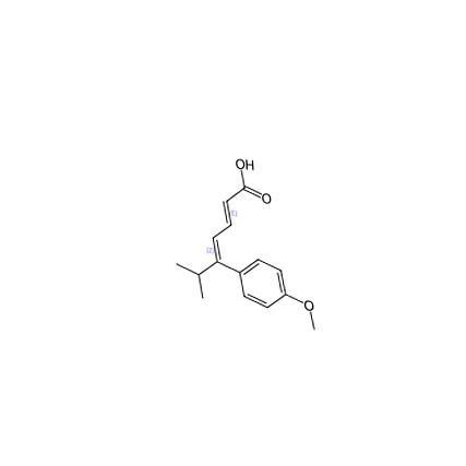 COc1ccc(/C(=C\C=C\C(=O)O)C(C)C)cc1